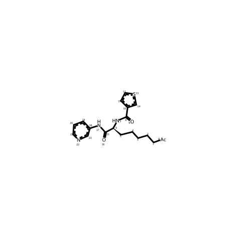 CC(=O)CCCCC[C@H](NC(=O)c1ccsc1)C(=O)Nc1cccnc1